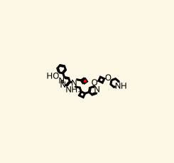 Nc1nnc(-c2ccccc2O)cc1N(CCC1CCC1c1ccnc(O[C@H]2C[C@H](OC3CCNCC3)C2)c1)CC1C2CC1C2